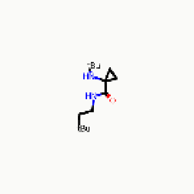 CC(C)(C)CCNC(=O)C1(NC(C)(C)C)CC1